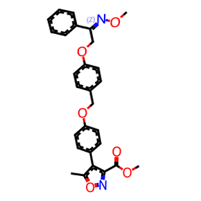 CO/N=C(\COc1ccc(COc2ccc(-c3c(C(=O)OC)noc3C)cc2)cc1)c1ccccc1